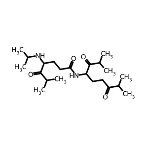 CC(C)NC(CCC(=O)NC(CCC(=O)C(C)C)C(=O)C(C)C)C(=O)C(C)C